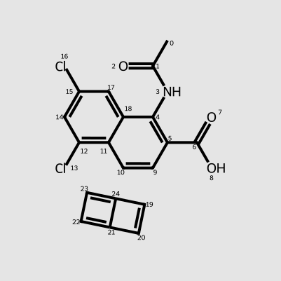 CC(=O)Nc1c(C(=O)O)ccc2c(Cl)cc(Cl)cc12.c1cc2ccc1-2